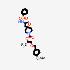 COc1ccc(COC[C@@H](OC(=O)N2CCC3(CC2)CC(NS(=O)(=O)c2ccccc2)CO3)C(F)(F)F)cc1